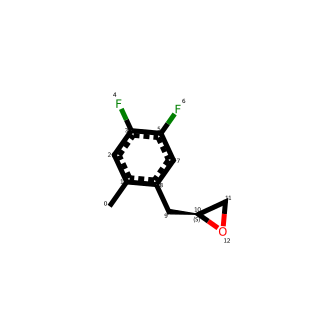 Cc1cc(F)c(F)cc1C[C@H]1CO1